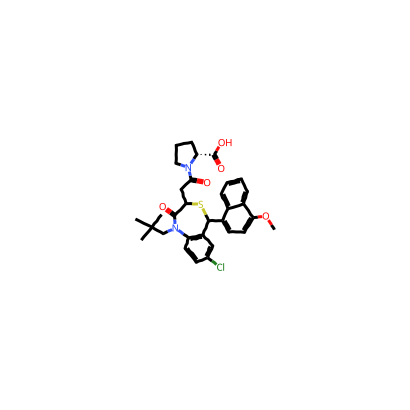 COc1ccc(C2SC(CC(=O)N3CCC[C@@H]3C(=O)O)C(=O)N(CC(C)(C)C)c3ccc(Cl)cc32)c2ccccc12